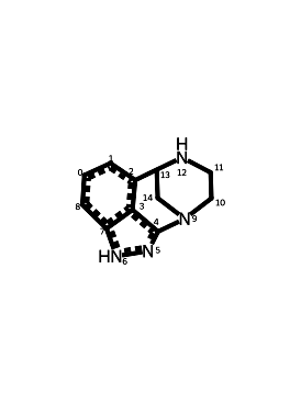 c1cc2c3c(n[nH]c3c1)N1CCNC2C1